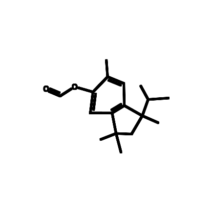 Cc1cc2c(cc1OC=O)C(C)(C)CC2(C)C(C)C